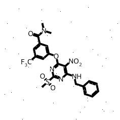 CN(C)C(=O)c1cc(Oc2nc(S(C)(=O)=O)nc(NCc3ccccc3)c2[N+](=O)[O-])cc(C(F)(F)F)c1